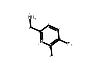 Cc1nc(CN)ccc1F